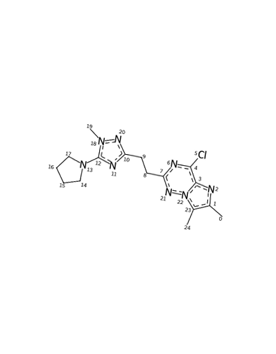 Cc1nc2c(Cl)nc(CCc3nc(N4CCCC4)n(C)n3)nn2c1C